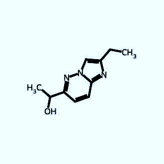 CCc1cn2nc(C(C)O)ccc2n1